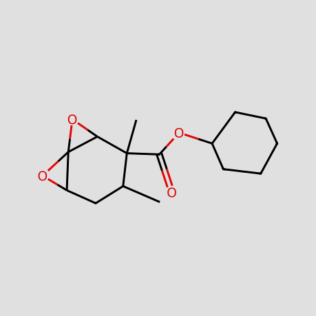 CC1CC2OC23OC3C1(C)C(=O)OC1CCCCC1